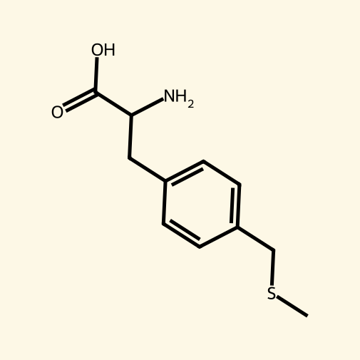 CSCc1ccc(CC(N)C(=O)O)cc1